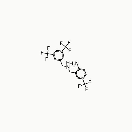 Nc1ccc(C(F)(F)F)cc1CNCc1cc(C(F)(F)F)cc(C(F)(F)F)c1